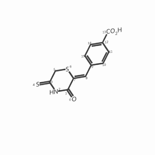 O=C1NC(=S)CS/C1=C\c1ccc(C(=O)O)cc1